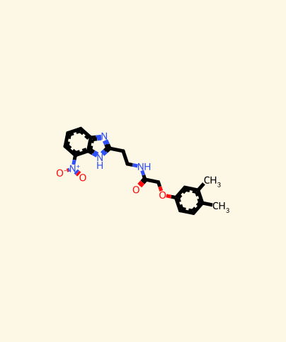 Cc1ccc(OCC(=O)NCCc2nc3cccc([N+](=O)[O-])c3[nH]2)cc1C